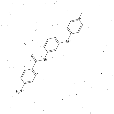 C[n+]1ccc(Nc2cccc(NC(=O)c3ccc(N)cc3)c2)cc1